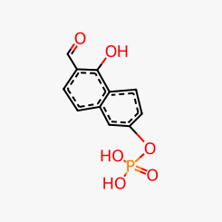 O=Cc1ccc2cc(OP(=O)(O)O)ccc2c1O